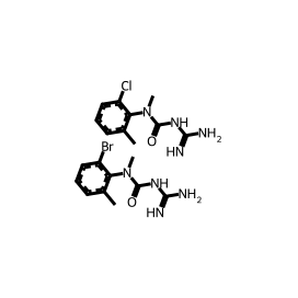 Cc1cccc(Br)c1N(C)C(=O)NC(=N)N.Cc1cccc(Cl)c1N(C)C(=O)NC(=N)N